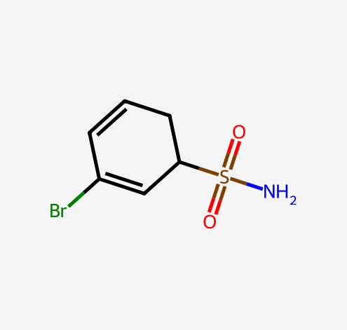 NS(=O)(=O)C1C=C(Br)C=CC1